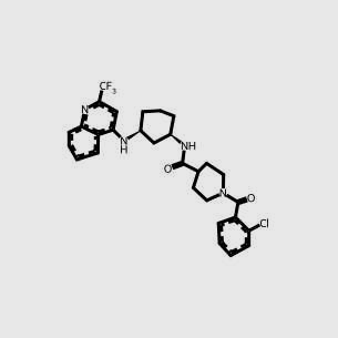 O=C(N[C@@H]1CCC[C@H](Nc2cc(C(F)(F)F)nc3ccccc23)C1)C1CCN(C(=O)c2ccccc2Cl)CC1